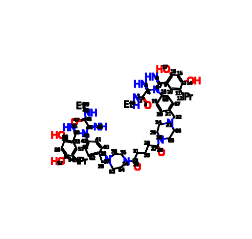 CCNC(=O)C(=N)N(C(=N)c1cc(C(C)C)c(O)cc1O)c1ccc(CN2CCN(C(=O)CCCC(=O)N3CCN(Cc4ccc(N(C(=N)C(=O)NCC)C(=N)c5cc(C(C)C)c(O)cc5O)cc4)CC3)CC2)cc1